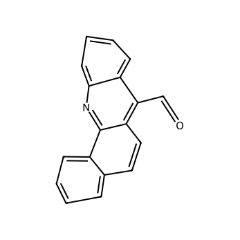 O=Cc1c2ccccc2nc2c1ccc1ccccc12